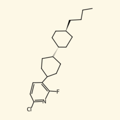 CCCC[C@H]1CC[C@H](C2CCC(c3ccc(Cl)nc3F)CC2)CC1